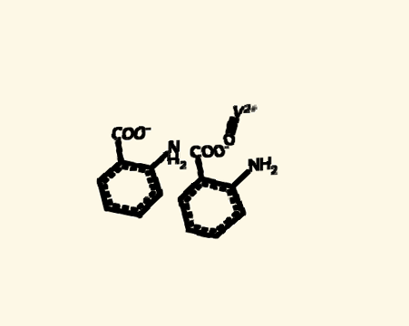 Nc1ccccc1C(=O)[O-].Nc1ccccc1C(=O)[O-].[O]=[V+2]